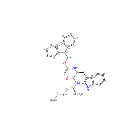 C=C(N[C@@H](Cc1c[nH]c2ccccc12)C(=O)N[C@H](CSSC(C)(C)C)C(=O)O)OCC1c2ccccc2-c2ccccc21